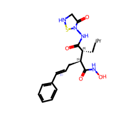 CC(C)C[C@@H](C(=O)NN1SNCC1=O)[C@H](C/C=C/c1ccccc1)C(=O)NO